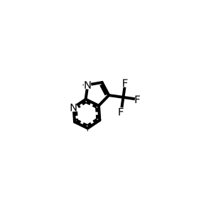 FC(F)(F)C1=C[N]c2nc[c]cc21